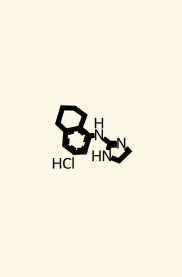 Cl.c1cc2c(c(NC3=NCCN3)c1)CCCC2